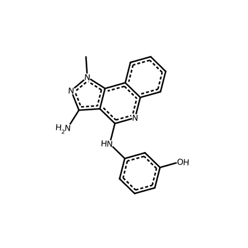 Cn1nc(N)c2c(Nc3cccc(O)c3)nc3ccccc3c21